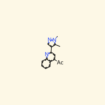 CC(=O)c1cc(-c2cnn(C)c2C)nc2ccccc12